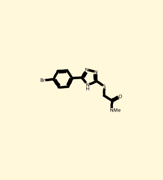 CNC(=O)CSc1nnc(-c2ccc(Br)cc2)[nH]1